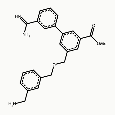 COC(=O)c1cc(COCc2cccc(CN)c2)cc(-c2cccc(C(=N)N)c2)c1